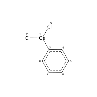 [Cl][Ge]([Cl])[c]1ccccc1